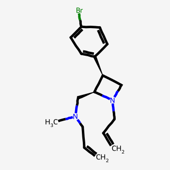 C=CCN(C)C[C@H]1[C@@H](c2ccc(Br)cc2)CN1CC=C